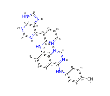 Cc1ccc2c(Nc3ccc(C#N)cc3)ncnc2c1Nc1ncccc1-c1ncnc2[nH]cnc12